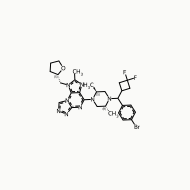 Cc1nc2c(N3C[C@@H](C)N(C(c4ccc(Br)cc4)C4CC(F)(F)C4)C[C@@H]3C)nc3nncn3c2n1C[C@@H]1CCCO1